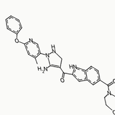 Cc1cc(Oc2ccccc2)ncc1N1NCC(C(=O)c2cc3cc(C(=O)N4CCOCC4)ccc3[nH]2)=C1N